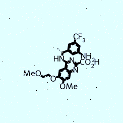 COCCOc1cc2c(N[C@H](C)c3cc(N)cc(C(F)(F)F)c3)nc(C(=O)O)nc2cc1OC